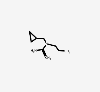 C=C(N)N(CCC)CC1CC1